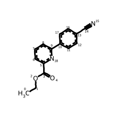 CCOC(=O)c1cccc(-c2ccc(C#N)cc2)n1